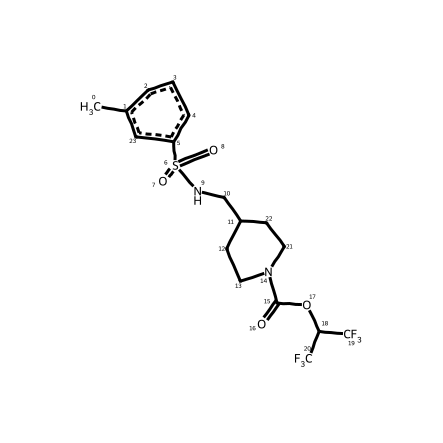 Cc1cccc(S(=O)(=O)NCC2CCN(C(=O)OC(C(F)(F)F)C(F)(F)F)CC2)c1